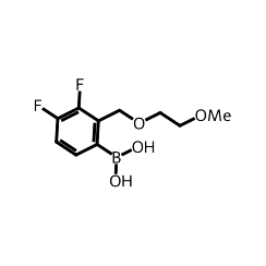 COCCOCc1c(B(O)O)ccc(F)c1F